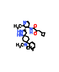 Cc1nccc(NC(=O)C(=O)CC2CCC2)c1[C@@H]1CC2(CCC(c3ccccc3)(N(C)C)CC2)NN1